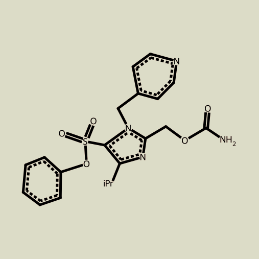 CC(C)c1nc(COC(N)=O)n(Cc2ccncc2)c1S(=O)(=O)Oc1ccccc1